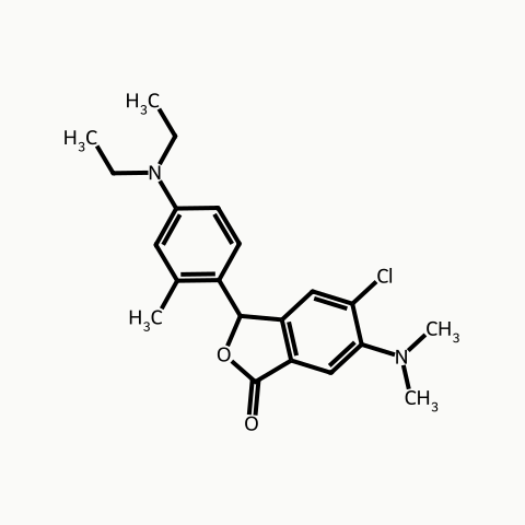 CCN(CC)c1ccc(C2OC(=O)c3cc(N(C)C)c(Cl)cc32)c(C)c1